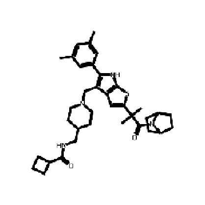 Cc1cc(C)cc(-c2[nH]c3sc(C(C)(C)C(=O)N4C5CCC4CC5)cc3c2CN2CCC(CNC(=O)C3CCC3)CC2)c1